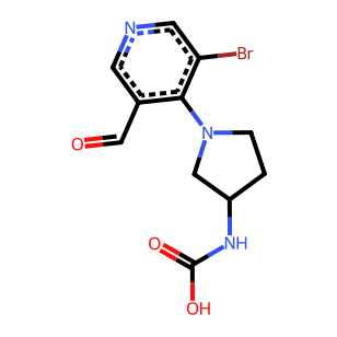 O=Cc1cncc(Br)c1N1CCC(NC(=O)O)C1